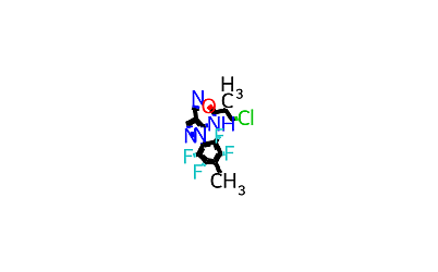 CCc1c(F)c(F)c(-n2ncc(C#N)c2NC(=O)C(C)CCl)c(F)c1F